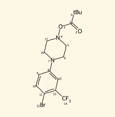 CC(C)(C)C(=O)ON1CCN(c2ccc(Br)c(C(F)(F)F)c2)CC1